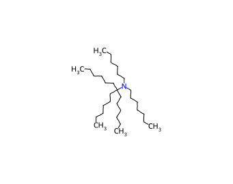 CCCCCCCN(CCCCCC)C(CCCCCC)(CCCCCC)CCCCCC